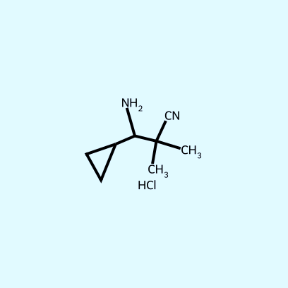 CC(C)(C#N)C(N)C1CC1.Cl